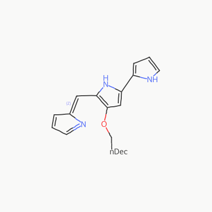 CCCCCCCCCCCOc1cc(-c2ccc[nH]2)[nH]c1/C=C1/C=CC=N1